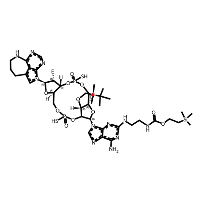 CC(C)(C)[Si](C)(C)CO[C@H]1C2OP(=O)(S)OC[C@H]3O[C@@H](n4cc5c6c(ncnc64)NCCC5)[C@H](F)[C@@H]3OP(=O)(S)OC[C@H]1O[C@H]2n1cnc2c(N)nc(NCCNC(=O)OCC[Si](C)(C)C)nc21